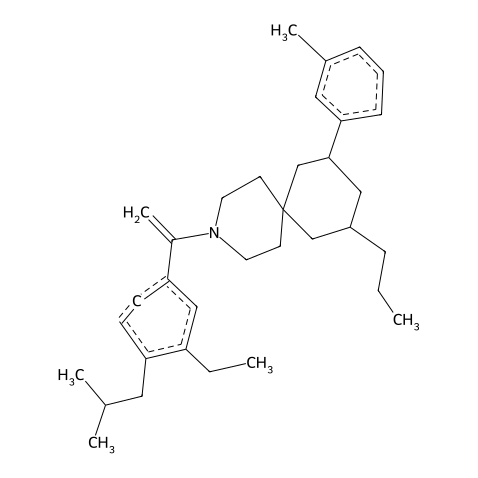 C=C(c1ccc(CC(C)C)c(CC)c1)N1CCC2(CC1)CC(CCC)CC(c1cccc(C)c1)C2